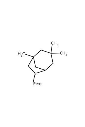 CCCC(C)N1CC2(C)CC1CC(C)(C)C2